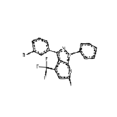 Cc1cc(C(F)(F)F)c2c(-c3cccc(Br)c3)nn(-c3ccccc3)c2n1